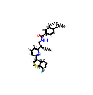 COc1ccc(C(=O)NCC(OC)c2cccc(-c3csc4c(F)cccc34)n2)cc1OC